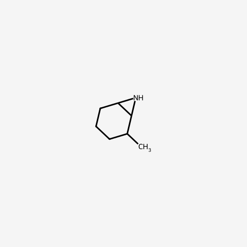 CC1CCCC2NC12